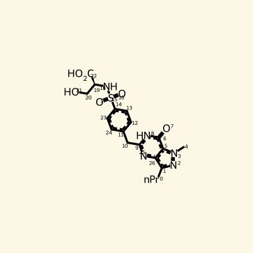 CCCc1nn(C)c2c(=O)[nH]c(Cc3ccc(S(=O)(=O)N[C@@H](CO)C(=O)O)cc3)nc12